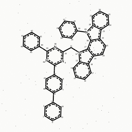 c1ccc(-c2ccc(-c3nc(Cn4c5ccccc5c5ccc6c7ccccc7n(-c7ccccc7)c6c54)nc(-c4ccccc4)n3)cc2)cc1